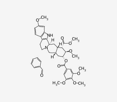 COC(=O)[C@H]1[C@H]2C[C@@H]3c4[nH]c5cc(OC)ccc5c4CCN3C[C@H]2C[C@@H](OC(=O)c2cc(OC)c(OC)c(OC)c2)[C@@H]1OC.O=Cc1ccccc1